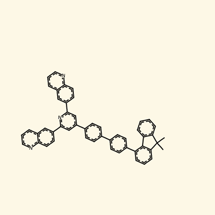 CC1(C)c2ccccc2-c2c(-c3ccc(-c4ccc(-c5cc(-c6ccc7ncccc7c6)nc(-c6ccc7ncccc7c6)c5)cc4)cc3)cccc21